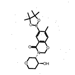 Cc1cc2c(cc1B1OC(C)(C)C(C)(C)O1)C(=O)N([C@H]1COCC[C@@H]1O)CO2